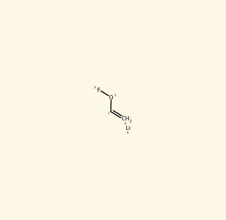 C=COF.[Li]